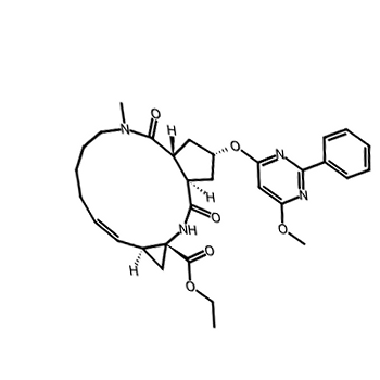 CCOC(=O)[C@@]12C[C@H]1/C=C\CCCCN(C)C(=O)[C@@H]1C[C@H](Oc3cc(OC)nc(-c4ccccc4)n3)C[C@H]1C(=O)N2